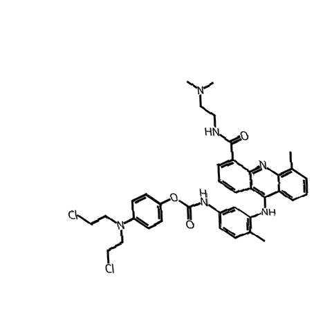 Cc1ccc(NC(=O)Oc2ccc(N(CCCl)CCCl)cc2)cc1Nc1c2cccc(C)c2nc2c(C(=O)NCCN(C)C)cccc12